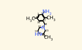 Cc1cc(N)c(C)c(CN2CCN[C@@H](C)C2)c1